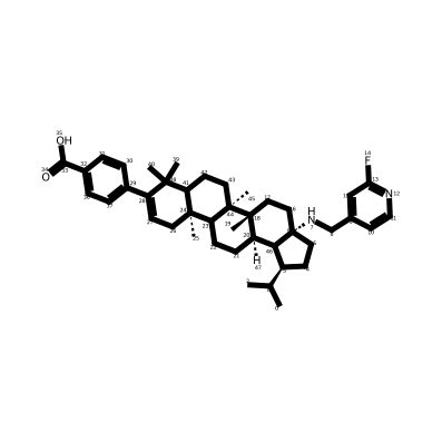 CC(C)[C@@H]1CC[C@]2(NCc3ccnc(F)c3)CC[C@]3(C)[C@H](CCC4[C@@]5(C)CC=C(c6ccc(C(=O)O)cc6)C(C)(C)C5CC[C@]43C)C12